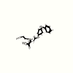 O=C(C[C@@H](NCCO)C(=O)O)Nc1ccc(Nc2ccccc2)cc1